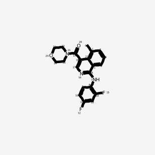 Cc1cccc2c(Nc3ccc(F)cc3F)ncc(C(=O)N3CCOCC3)c12